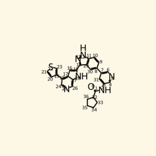 O=C(Nc1cncc(-c2ccc3[nH]nc(-c4cc5c(-c6ccsc6)cncc5[nH]4)c3c2)c1)C1CCCC1